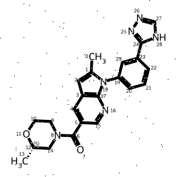 Cc1cc2cc(C(=O)N3CCO[C@@H](C)C3)cnc2n1-c1cccc(-c2nnc[nH]2)c1